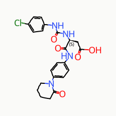 O=C(O)C[C@H](NC(=O)Nc1ccc(Cl)cc1)C(=O)Nc1ccc(N2CCCCC2=O)cc1